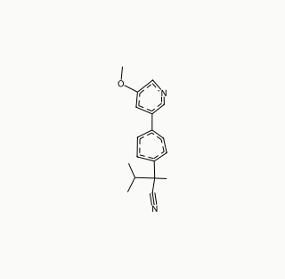 COc1cncc(-c2ccc(C(C)(C#N)C(C)C)cc2)c1